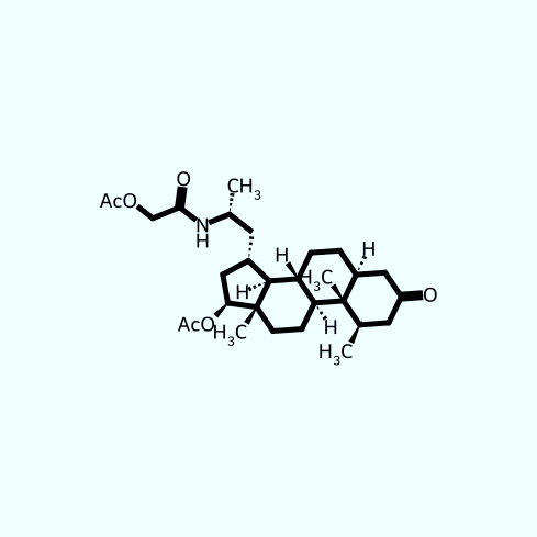 CC(=O)OCC(=O)N[C@H](C)C[C@H]1C[C@H](OC(C)=O)[C@@]2(C)CC[C@H]3[C@@H](CC[C@H]4CC(=O)C[C@@H](C)[C@@]43C)[C@H]12